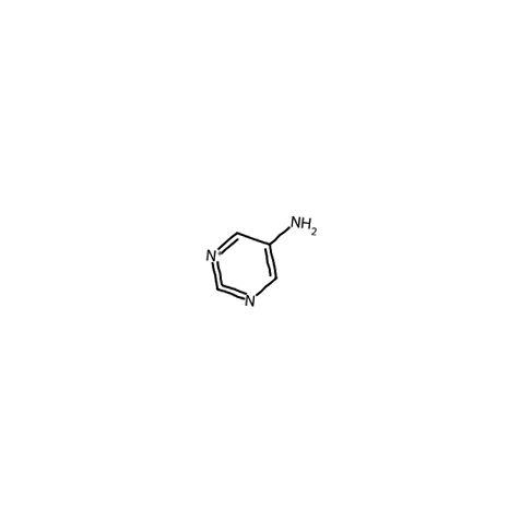 NC1=CN=C=[N+]=C1